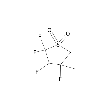 CC1(F)CS(=O)(=O)C(F)(F)C1F